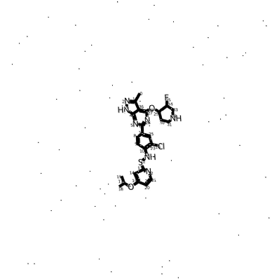 Cc1n[nH]c2nc(-c3ccc(NSc4cc(OC(C)C)ccn4)c(Cl)c3)nc(OC3CCNCC3F)c12